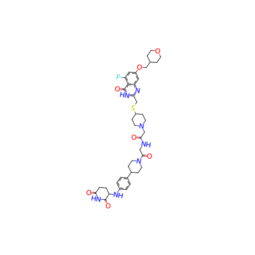 O=C(CN1CCC(SCc2nc3cc(OCC4CCOCC4)cc(F)c3c(=O)[nH]2)CC1)NCC(=O)N1CCC(c2ccc(NC3CCC(=O)NC3=O)cc2)CC1